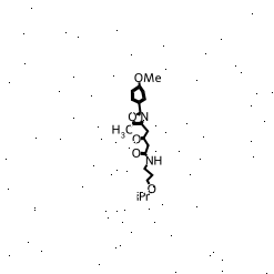 COc1ccc(-c2nc(CC(=O)CC(=O)NCCCOC(C)C)c(C)o2)cc1